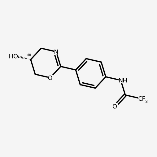 O=C(Nc1ccc(C2=NC[C@@H](O)CO2)cc1)C(F)(F)F